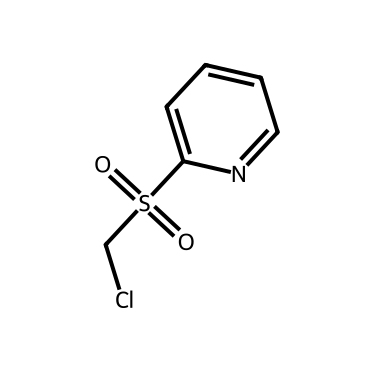 O=S(=O)(CCl)c1ccccn1